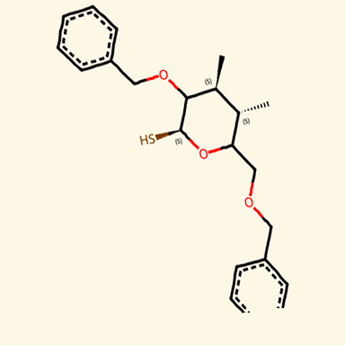 C[C@@H]1C(COCc2ccccc2)O[C@@H](S)C(OCc2ccccc2)[C@H]1C